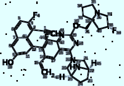 C#Cc1c(F)ccc2cc(O)cc(-c3c(C=C)cc4c(N5C[C@H]6CC[C@@H](C5)N6)nc(OC[C@@]56CCCN5C[C@H](F)C6)nc4c3F)c12